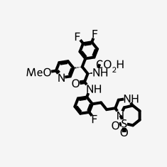 COc1ccc([C@H](c2ccc(F)c(F)c2)[C@H](NC(=O)O)C(=O)Nc2cccc(F)c2CCC2CNC3CCCS(=O)(=O)N2C3)cn1